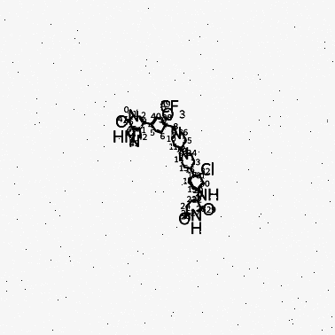 Cn1cc(-c2ccc(CN3CCC(N4CCC(c5ccc(NC6CCC(=O)NC6=O)cc5Cl)CC4)CC3)c(OC(F)(F)F)c2)c2cn[nH]c2c1=O